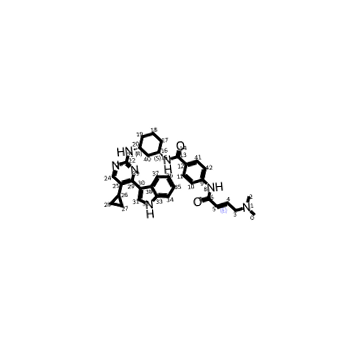 CN(C)C/C=C/C(=O)Nc1ccc(C(=O)N[C@H]2CCC[C@@H](Nc3ncc(C4CC4)c(-c4c[nH]c5ccccc45)n3)C2)cc1